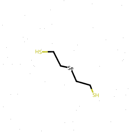 SCC[Se]CCS